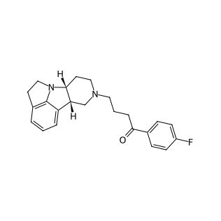 O=C(CCCN1CC[C@@H]2[C@H](C1)c1cccc3c1N2CC3)c1ccc(F)cc1